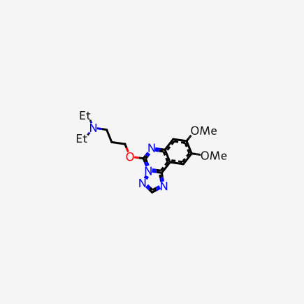 CCN(CC)CCCOc1nc2cc(OC)c(OC)cc2c2ncnn12